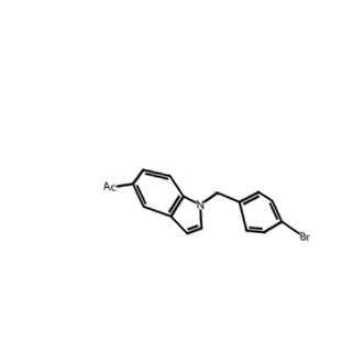 CC(=O)c1ccc2c(ccn2Cc2ccc(Br)cc2)c1